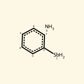 N.[SbH2][c]1ccccc1